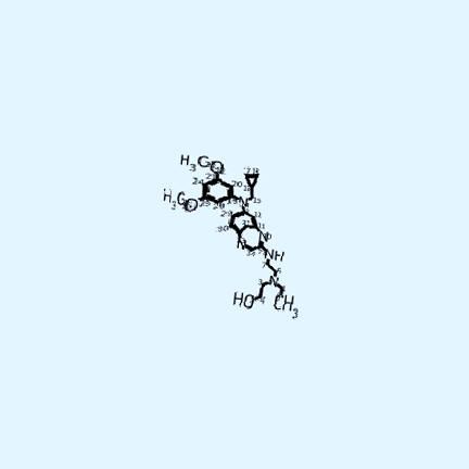 CCN(CCO)CCNC1=NC2=CC(N(CC3CC3)c3cc(OC)cc(OC)c3)=CC=C(C2)N=C1